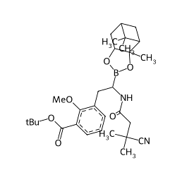 COc1c(CC(NC(=O)CC(C)(C)C#N)B2OC3CC4CC(C4(C)C)C3(C)O2)cccc1C(=O)OC(C)(C)C